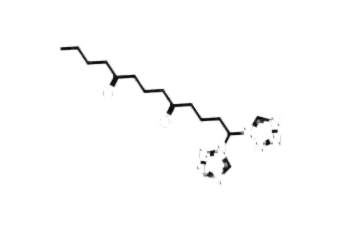 CCCCC(=O)CCCC(=O)CCCC(n1cnnn1)n1cnnn1